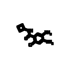 Nc1cc(Cl)c(C(=O)NC2CCC2)cc1N